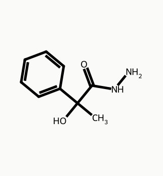 CC(O)(C(=O)NN)c1ccccc1